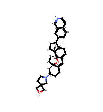 C[C@]12CC=C3C=C4CC[C@@H](N5CCC6(COC6)C5)C[C@]45CC[C@]3(O5)[C@@H]1CCC2c1ccc2ccncc2c1